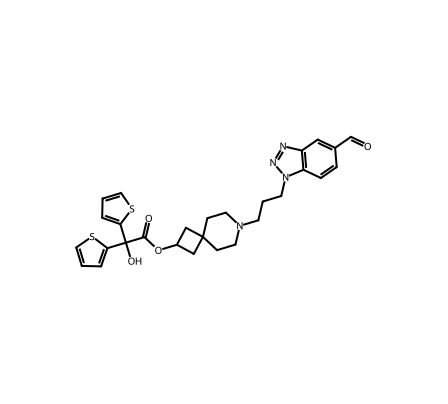 O=Cc1ccc2c(c1)nnn2CCCN1CCC2(CC1)CC(OC(=O)C(O)(c1cccs1)c1cccs1)C2